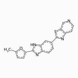 Cc1ccc(-c2nc3ccc(-c4nc5ccncc5s4)cc3[nH]2)o1